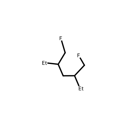 CCC(CF)CC(CC)CF